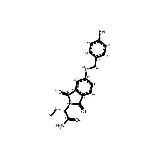 CC[C@@H](C(N)=O)N1C(=O)c2ccc(OCc3ccc(F)cc3)cc2C1=O